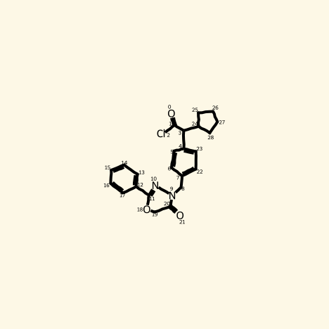 O=C(Cl)C(c1ccc(CN2N=C(c3ccccc3)OCC2=O)cc1)C1CCCC1